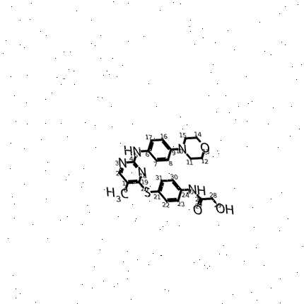 Cc1cnc(Nc2ccc(N3CCOCC3)cc2)nc1Sc1ccc(NC(=O)CO)cc1